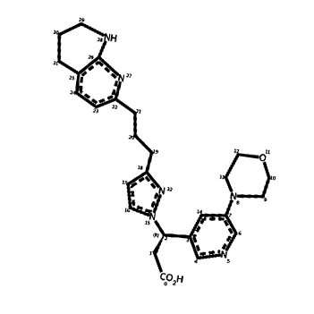 O=C(O)C[C@H](c1cncc(N2CCOCC2)c1)n1ccc(CCCc2ccc3c(n2)NCCC3)n1